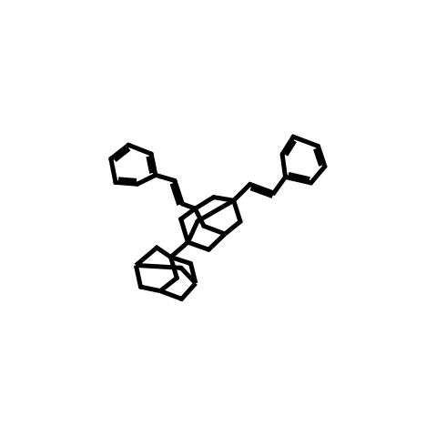 C(=CC12CC3CC(C=Cc4ccccc4)(C1)CC(C14CC5CC(CC(C5)C1)C4)(C3)C2)c1ccccc1